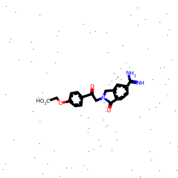 N=C(N)c1ccc2c(c1)CN(CC(=O)c1ccc(OCC(=O)O)cc1)C2=O